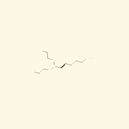 CCCCCCCCCCCCC=CN(OCCO)OCCO